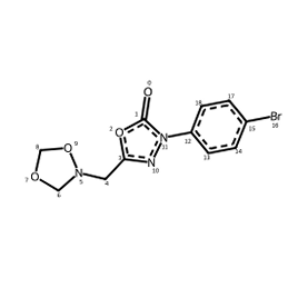 O=c1oc(CN2COCO2)nn1-c1ccc(Br)cc1